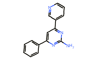 Nc1nc(-c2ccccc2)cc(-c2cccnc2)n1